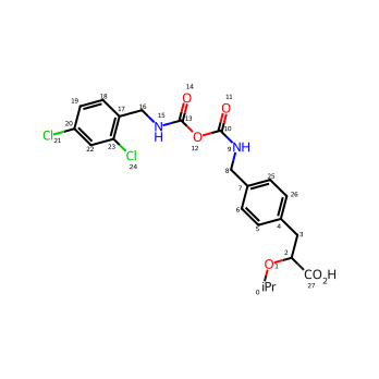 CC(C)OC(Cc1ccc(CNC(=O)OC(=O)NCc2ccc(Cl)cc2Cl)cc1)C(=O)O